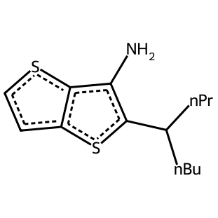 CCCCC(CCC)c1sc2ccsc2c1N